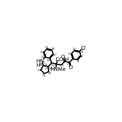 CNC(CC(=O)C(=O)c1ccc(Cl)cc1)(C(=O)O)C1c2ccccc2N[C@@H]2CCC[C@H]12